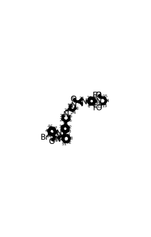 O=C(C1CN(c2cc(F)c(N3C(=O)CCCC3=O)c(F)c2)C1)N1CC[C@@H](CN2CCC(c3ccc4c(c3)-n3c(nc(=O)c5c(Br)cccc53)C43CCCCC3)CC2)C1